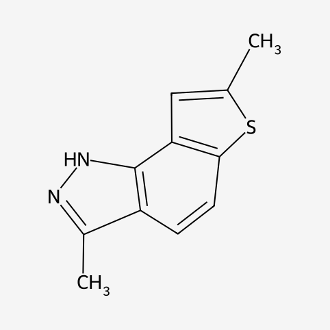 Cc1cc2c(ccc3c(C)n[nH]c32)s1